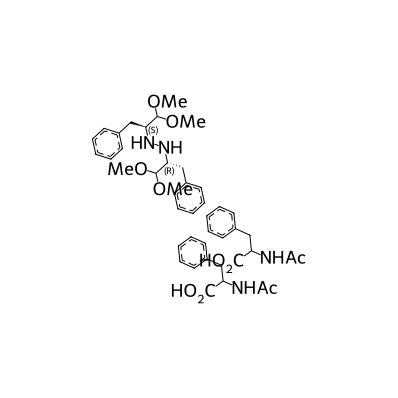 CC(=O)NC(Cc1ccccc1)C(=O)O.CC(=O)NC(Cc1ccccc1)C(=O)O.COC(OC)[C@H](Cc1ccccc1)NN[C@H](Cc1ccccc1)C(OC)OC